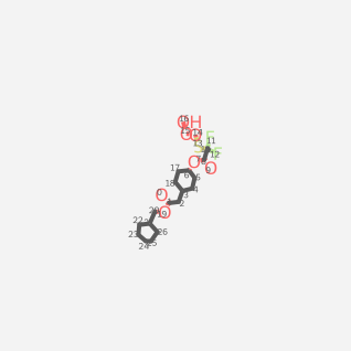 O=C(CC1CCC(OC(=O)C(F)(F)SOOO)CC1)OCC1CCCCC1